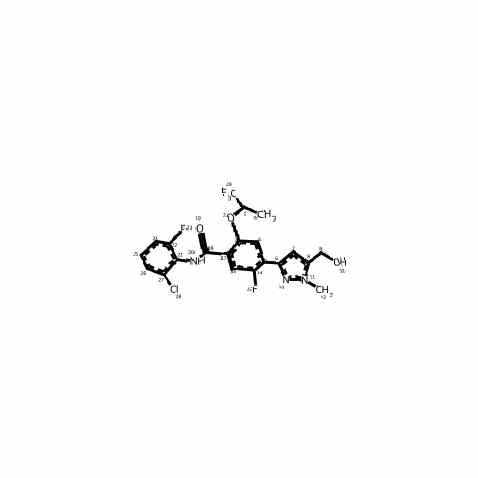 CC(Oc1cc(-c2cc(CO)n(C)n2)c(F)cc1C(=O)Nc1c(F)cccc1Cl)C(F)(F)F